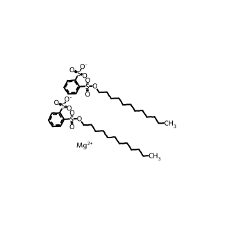 CCCCCCCCCCCCOS(=O)(=O)c1ccccc1S(=O)(=O)[O-].CCCCCCCCCCCCOS(=O)(=O)c1ccccc1S(=O)(=O)[O-].[Mg+2]